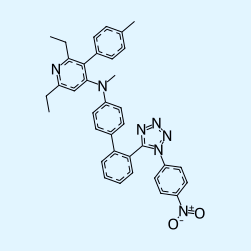 CCc1cc(N(C)c2ccc(-c3ccccc3-c3nnnn3-c3ccc([N+](=O)[O-])cc3)cc2)c(-c2ccc(C)cc2)c(CC)n1